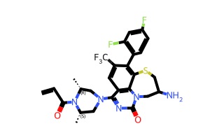 C=CC(=O)N1[C@H](C)CN(c2nc(=O)n3c4c(c(-c5ccc(F)cc5F)c(C(F)(F)F)cc24)SCC(N)C3)C[C@@H]1C